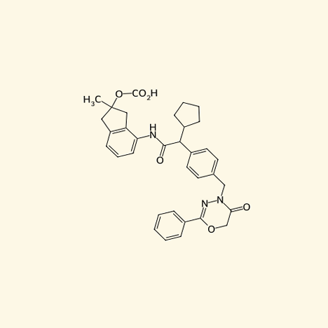 CC1(OC(=O)O)Cc2cccc(NC(=O)C(c3ccc(CN4N=C(c5ccccc5)OCC4=O)cc3)C3CCCC3)c2C1